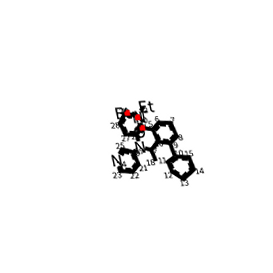 CCN(CC)C(=O)c1cccc(-c2ccccc2)c1C(C)N(c1cccnc1)c1cccnc1